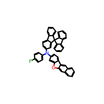 Fc1ccc(N(c2ccc3c(c2)C2(c4ccccc4-c4ccccc42)c2ccccc2-3)c2ccc3c(c2)oc2cc4ccccc4cc23)cc1